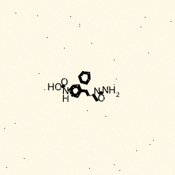 C1CCCCC1.NC1=N[C@@H](CCc2ccc(NC(=O)O)cc2)CO1